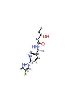 CC[C@H](O)CC(=O)N[C@@H](C)c1ccc(-n2cc(F)cn2)nc1